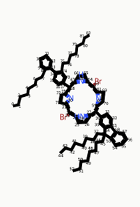 CCCCCCCCc1ccccc1-c1ccc(-c2c3nc(c(Br)c4ccc([nH]4)c(-c4ccc5c(c4)C(CCCCCCCC)(CCCCCCCC)c4ccccc4-5)c4nc(c(Br)c5ccc2[nH]5)C=C4)C=C3)cc1CCCCCCCC